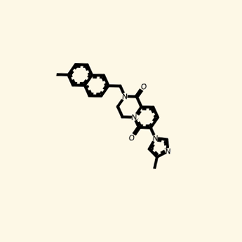 Cc1ccc2cc(CN3CCn4c(ccc(-n5cnc(C)c5)c4=O)C3=O)ccc2c1